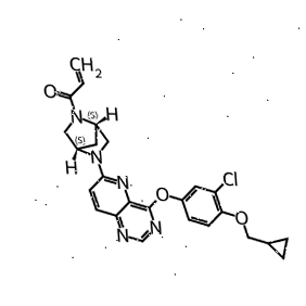 C=CC(=O)N1C[C@@H]2C[C@H]1CN2c1ccc2ncnc(Oc3ccc(OCC4CC4)c(Cl)c3)c2n1